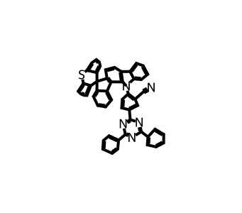 N#Cc1cc(-c2nc(-c3ccccc3)nc(-c3ccccc3)n2)ccc1-n1c2ccccc2c2ccc3c(c21)-c1ccccc1C31c2ccccc2Sc2ccccc21